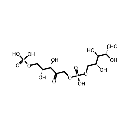 O=C[C@H](O)[C@H](O)[C@H](O)COP(=O)(O)OCC(=O)[C@@H](O)[C@H](O)COP(=O)(O)O